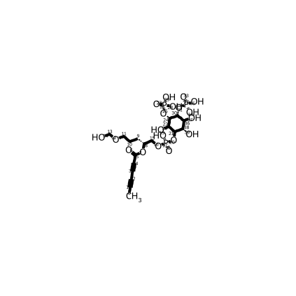 CC#CC#CC(=O)O[C@H](CCCOCO)COP(=O)(O)OC1C(O)[C@H](OP(=O)(O)O)[C@H](OP(=O)(O)O)C(O)[C@@H]1O